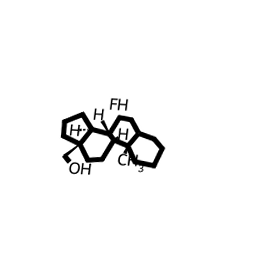 C[C@]12CCCCC1CC[C@H]1[C@@H]3CCC[C@@]3(CO)CC[C@@H]12.F